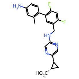 Cc1cc(N)ccc1-c1cc(CNc2cnc([C@H]3C[C@@H]3C(=O)O)cn2)c(F)cc1F